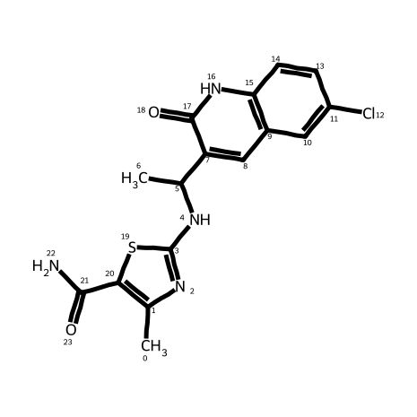 Cc1nc(NC(C)c2cc3cc(Cl)ccc3[nH]c2=O)sc1C(N)=O